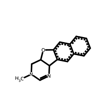 CN1C=NC2c3cc4ccccc4cc3OC2C1